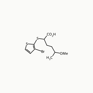 COC(C)CCC(Sc1sccc1Br)C(=O)O